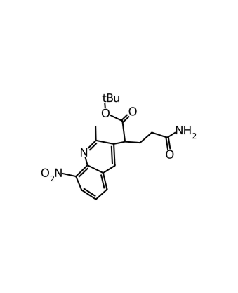 Cc1nc2c([N+](=O)[O-])cccc2cc1C(CCC(N)=O)C(=O)OC(C)(C)C